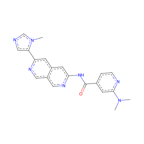 CN(C)c1cc(C(=O)Nc2cc3cc(-c4cncn4C)ncc3cn2)ccn1